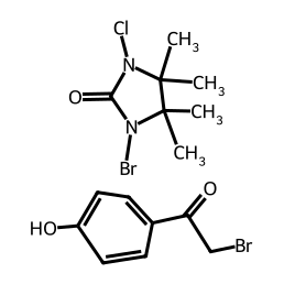 CC1(C)N(Cl)C(=O)N(Br)C1(C)C.O=C(CBr)c1ccc(O)cc1